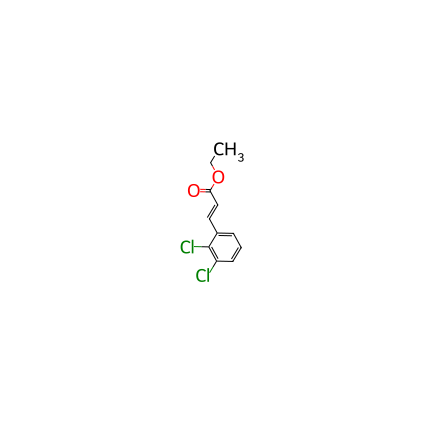 CCOC(=O)/C=C/c1cccc(Cl)c1Cl